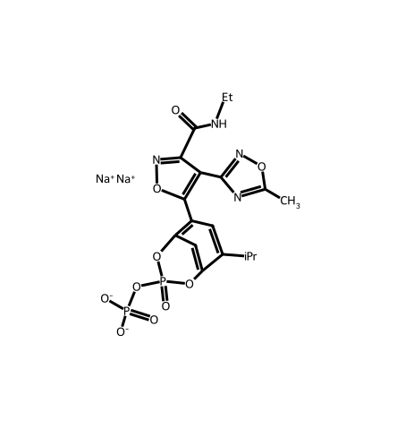 CCNC(=O)c1noc(-c2cc(C(C)C)c3cc2OP(=O)(OP(=O)([O-])[O-])O3)c1-c1noc(C)n1.[Na+].[Na+]